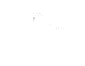 CN[C@@H](COC(C)(C)C)Cc1ccccc1